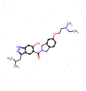 CCN(C)CCOc1ccc2c(c1)CN(C(=O)c1cc3c(CC(C)C)n[nH]c3cc1O)C2